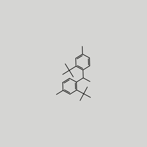 Cc1ccc(C(C)c2ccc(C)cc2C(C)(C)C)c(C(C)(C)C)c1